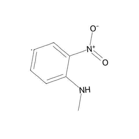 CNc1cc[c]cc1[N+](=O)[O-]